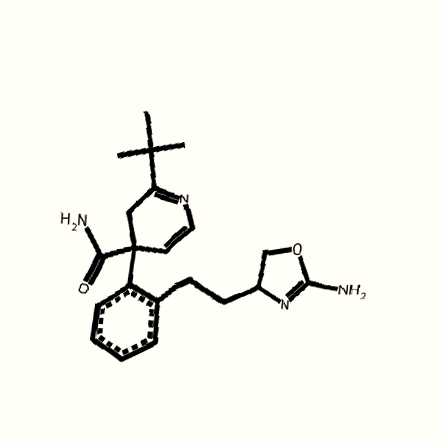 CC(C)(C)C1=NC=CC(C(N)=O)(c2ccccc2CCC2COC(N)=N2)C1